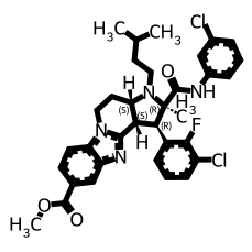 COC(=O)c1ccc2c(c1)nc1n2CC[C@H]2[C@@H]1[C@H](c1cccc(Cl)c1F)[C@](C)(C(=O)Nc1cccc(Cl)c1)N2CCC(C)C